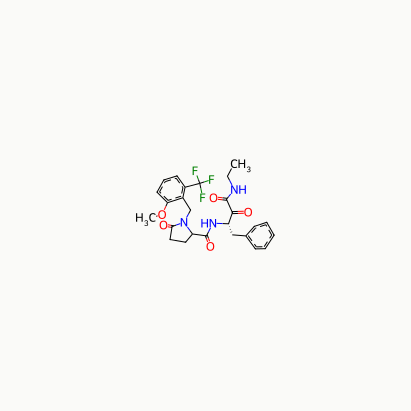 CCNC(=O)C(=O)[C@H](Cc1ccccc1)NC(=O)C1CCC(=O)N1Cc1c(OC)cccc1C(F)(F)F